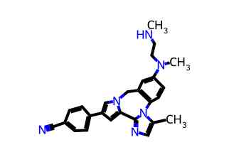 CNCCN(C)c1ccc2c(c1)Cn1cc(-c3ccc(C#N)cc3)cc1-c1ncc(C)n1-2